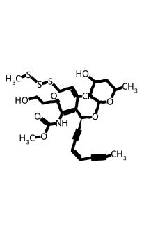 CC#C/C=C\C#C[C@H](OC1CC(O)CC(C)O1)C(/C(C)=C\CSSSC)=C(\NC(=O)OC)C(=O)CCO